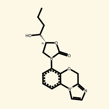 CCCC(O)[C@H]1CN(c2cccc3c2OCC2=NC=C[N+]23)C(=O)O1